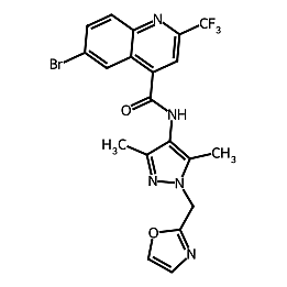 Cc1nn(Cc2ncco2)c(C)c1NC(=O)c1cc(C(F)(F)F)nc2ccc(Br)cc12